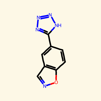 c1cc2oncc2cc1-c1nnn[nH]1